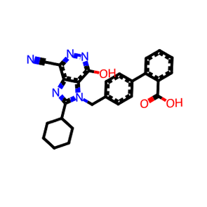 N#Cc1nnc(O)c2c1nc(C1CCCCC1)n2Cc1ccc(-c2ccccc2C(=O)O)cc1